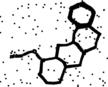 CCCCCCON1CCCC2CN3CCc4ccccc4C3CC21